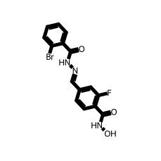 O=C(NO)c1ccc(C=NNC(=O)c2ccccc2Br)cc1F